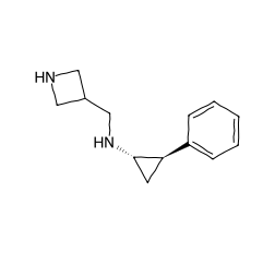 c1ccc([C@H]2C[C@@H]2NCC2CNC2)cc1